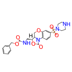 O=C(NC[C@@H]1OC(=O)N2c3ccc(S(=O)(=O)N4CCNCC4)cc3OC[C@H]12)OCc1ccccc1